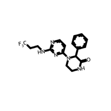 O=C1NCCN(c2ccnc(NCCC(F)(F)F)n2)C1c1ccccc1